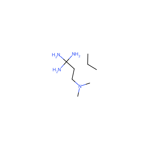 CCC.CN(C)CCC(N)(N)N